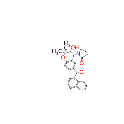 CC1(C)Oc2ccc(C(=O)c3cccc4ccccc34)cc2C(N2CCCC2=O)C1O